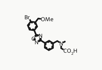 COCc1cc(-c2nc(-c3cccc(CN(C)CC(=O)O)c3)no2)ccc1Br